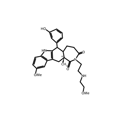 COCCNCCN1C(=O)CCC2C(c3cccc(O)c3)c3[nH]c4ccc(OC)cc4c3C[C@@]2(C)C1=O